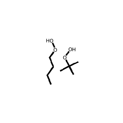 CC(C)(C)OO.CCCCOO